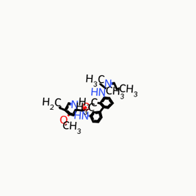 C=Cc1cnc(C(=O)Nc2cccc(-c3cccc(NC(C)(CC)/N=C\CC)c3C)c2C)cc1OC